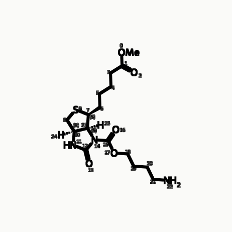 COC(=O)CCCC[C@@H]1SC[C@@H]2NC(=O)N(C(=O)OCCCCN)[C@@H]21